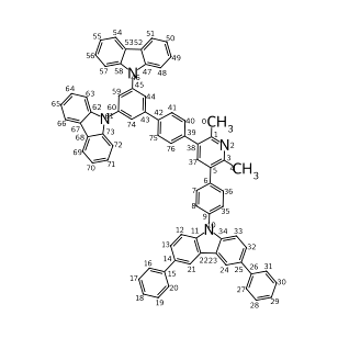 Cc1nc(C)c(-c2ccc(-n3c4ccc(-c5ccccc5)cc4c4cc(-c5ccccc5)ccc43)cc2)cc1-c1ccc(-c2cc(-n3c4ccccc4c4ccccc43)cc(-n3c4ccccc4c4ccccc43)c2)cc1